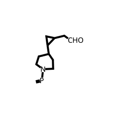 C=PN1CCC(C2CC2CC=O)CC1